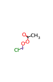 CC(=O)OO[I]Cl